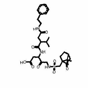 CC(C)C(CC(=O)NCCc1ccccc1)C(=O)NC(CC(=O)O)C(=O)CNS(=O)(=O)CC12CCC(CC1=O)C2(C)C